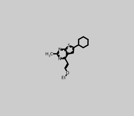 CCOC=Cc1nc(C)nc2sc(C3CCCCC3)cc12